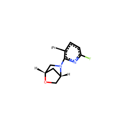 CC(C)c1ccc(F)nc1N1C[C@@H]2C[C@H]1CO2